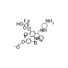 COCCOc1ccc(C(N)=O)c(-c2cc(C(CNC3CCC(N)CC3)c3ccccc3)cc(OC)c2Cl)c1F.O=C(O)C(F)(F)F